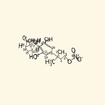 CC(C)(CCO[N+](=O)[O-])c1cc(O)c([C@@H]2CC(=O)[C@@H]3C[C@H]2C3(C)C)c(O)c1